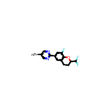 CCCc1cnc(-c2cc(F)c3c(c2)CCC(C(F)F)O3)nc1